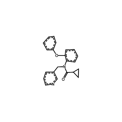 O=C(C1CC1)N(Cc1cccnc1)c1ccccc1Oc1ccccc1